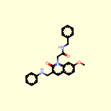 COc1ccc2cc(CNc3ccccc3)c(=O)n(CC(=O)NCc3ccccc3)c2c1